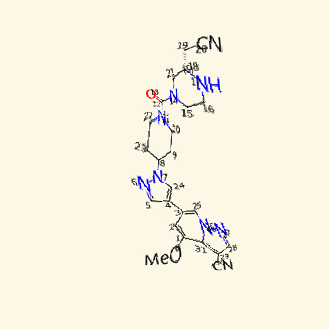 COc1cc(-c2cnn(C3CCN(C(=O)N4CCN[C@@H](CC#N)C4)CC3)c2)cn2ncc(C#N)c12